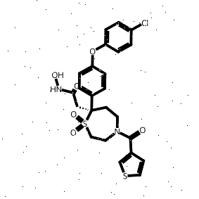 O=C(C[C@]1(c2ccc(Oc3ccc(Cl)cc3)cc2)CCN(C(=O)c2ccsc2)CCS1(=O)=O)NO